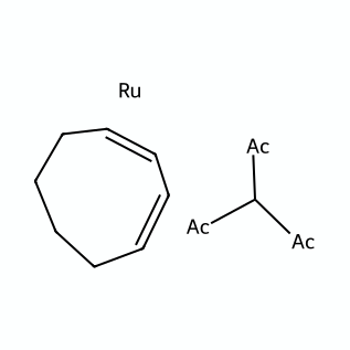 C1=CCCCCC=C1.CC(=O)C(C(C)=O)C(C)=O.[Ru]